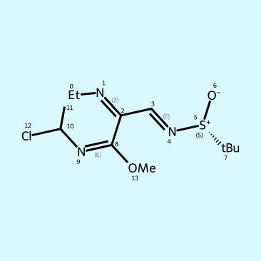 CC/N=C(/C=N/[S@+]([O-])C(C)(C)C)C(=N/C(C)Cl)\OC